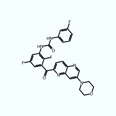 O=C(Nc1cccc(F)c1)Nc1cc(F)cc(C(=O)c2ccc3ncc(N4CCOCC4)cc3n2)c1F